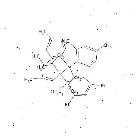 CCc1cc(CC)cc([Si](c2ccc(C)cc2C)(c2ccc(C)cc2C)[C]2([Ti]([CH3])([CH3])[CH3])C(C)=C(C)C(C)=C2C)c1